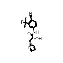 N#Cc1ccc(NC(=O)[C@@H](O)Cn2cccn2)cc1C(F)(F)F